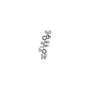 COC(=O)n1ncc2c(NC(=O)NC3CCOc4cc(OC(F)(F)F)ccc43)cccc21